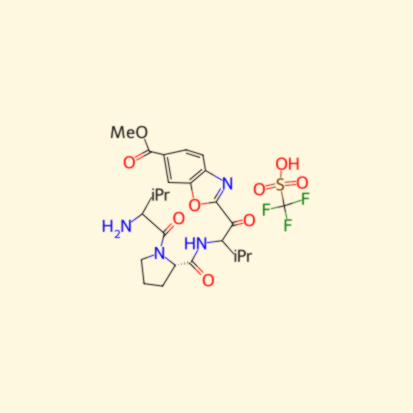 COC(=O)c1ccc2nc(C(=O)C(NC(=O)[C@@H]3CCCN3C(=O)C(N)C(C)C)C(C)C)oc2c1.O=S(=O)(O)C(F)(F)F